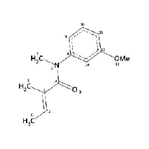 C/C=C(\C)C(=O)N(C)c1cccc(OC)c1